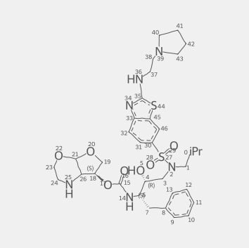 CC(C)CN(C[C@@H](O)[C@H](Cc1ccccc1)NC(=O)O[C@@H]1COC2OCCNC21)S(=O)(=O)c1ccc2nc(NCCN3CCCC3)sc2c1